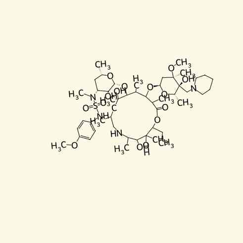 CCC1OC(=O)C(C)C(O[C@H]2C[C@@](C)(OC)[C@](O)(CN3CCCCC3)[C@H](C)O2)C(C)C(O[C@H]2O[C@@H](C)C[C@@H](N(C)S(=O)(=O)Nc3ccc(OC)cc3)[C@@H]2O)C(C)(O)CC(C)CNC(C)C(O)C1(C)O